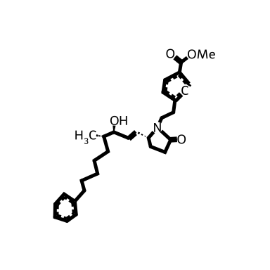 COC(=O)c1ccc(CCN2C(=O)CC[C@@H]2C=C[C@H](O)[C@@H](C)CCCCCc2ccccc2)cc1